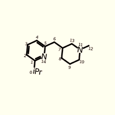 CC(C)c1cccc(CC2CCCN(C)C2)n1